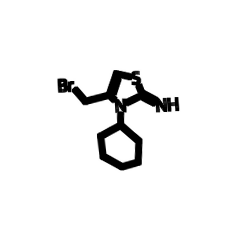 N=c1scc(CBr)n1C1CCCCC1